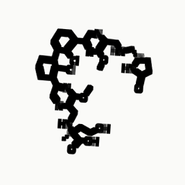 COc1nc(-c2cccc(-c3cccc(-c4cnc(CN[C@@](C)(CCO)C(=O)O)c(OC)n4)c3Cl)c2Cl)cnc1CNC[C@@H]1CCC(=O)N1